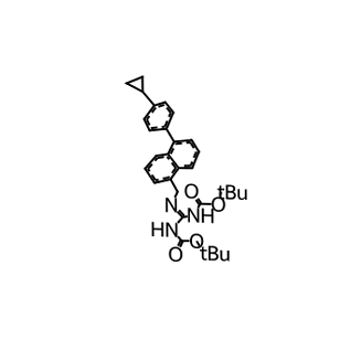 CC(C)(C)OC(=O)NC(=NCc1cccc2c(-c3ccc(C4CC4)cc3)cccc12)NC(=O)OC(C)(C)C